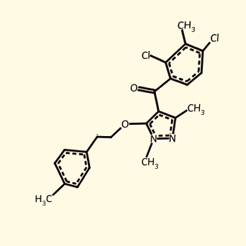 Cc1ccc([CH]COc2c(C(=O)c3ccc(Cl)c(C)c3Cl)c(C)nn2C)cc1